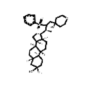 C[C@H](C(CC1(O)CCOCC1)S(=O)(=O)c1ccccc1)[C@H]1CC[C@H]2[C@@H]3CC[C@H]4C[C@](O)(C(F)(F)F)CC[C@]4(C)[C@H]3CC[C@]12C